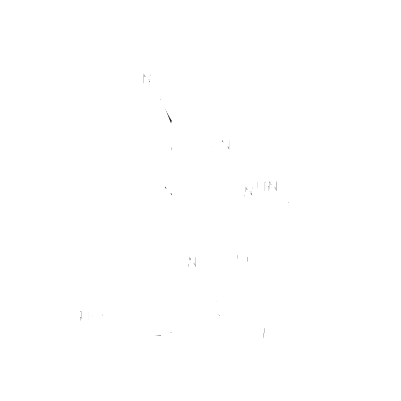 C#Cc1c(F)ccc2cc(O)cc(N3CCc4c(nc(OC[C@@]56CCCN5C[C@H](F)C6)c(C#N)c4N4CC5CCC(C4)N5)C3)c12